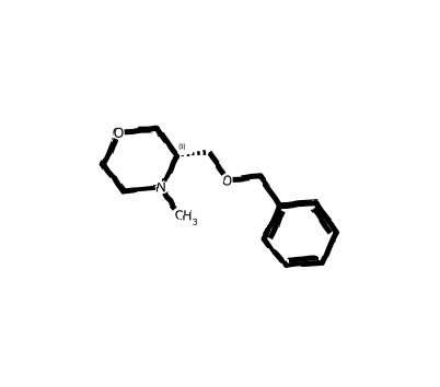 CN1CCOC[C@@H]1COCc1ccccc1